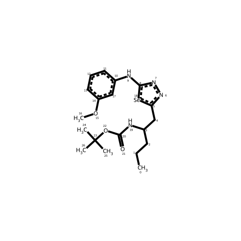 CCCC(Cc1nnc(Nc2cccc(OC)c2)[se]1)NC(=O)OC(C)(C)C